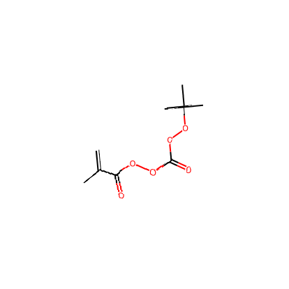 C=C(C)C(=O)OOC(=O)OOC(C)(C)C